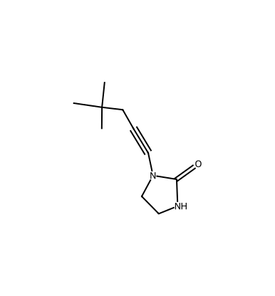 CC(C)(C)CC#CN1CCNC1=O